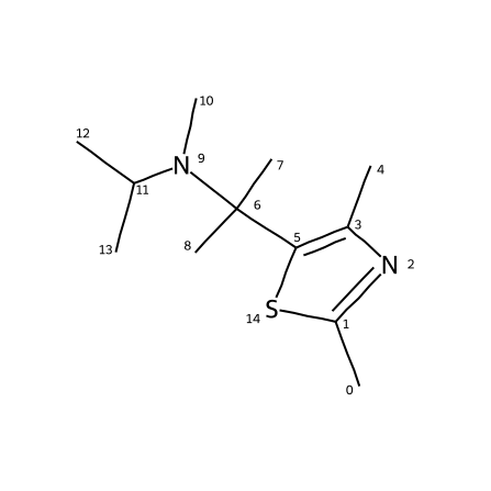 Cc1nc(C)c(C(C)(C)N(C)C(C)C)s1